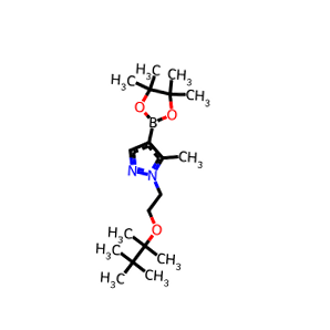 Cc1c(B2OC(C)(C)C(C)(C)O2)cnn1CCOC(C)(C)C(C)(C)C